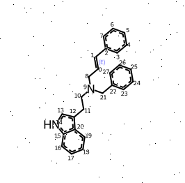 C(=C\c1ccccc1)/CN(CCc1c[nH]c2ccccc12)Cc1ccccc1